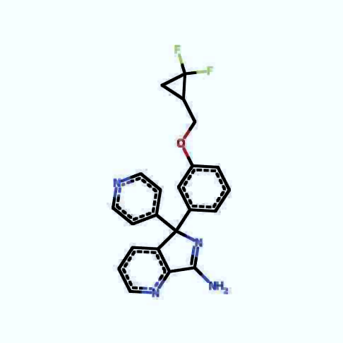 NC1=NC(c2ccncc2)(c2cccc(OCC3CC3(F)F)c2)c2cccnc21